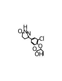 CCC(Oc1ccc(C2=NNC(=O)CC2)cc1Cl)C(=O)O